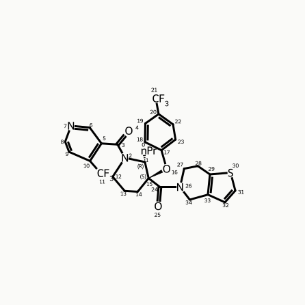 CCC[C@H]1N(C(=O)c2cnccc2C(F)(F)F)CCC[C@@]1(Oc1ccc(C(F)(F)F)cc1)C(=O)N1CCc2sccc2C1